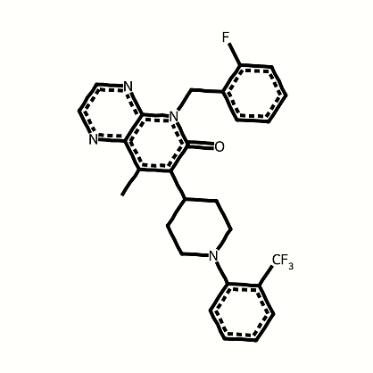 Cc1c(C2CCN(c3ccccc3C(F)(F)F)CC2)c(=O)n(Cc2ccccc2F)c2nccnc12